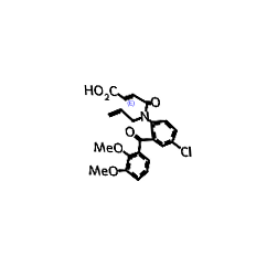 C=CCN(C(=O)/C=C/C(=O)O)c1ccc(Cl)cc1C(=O)c1cccc(OC)c1OC